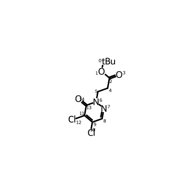 CC(C)(C)OC(=O)CCn1ncc(Cl)c(Cl)c1=O